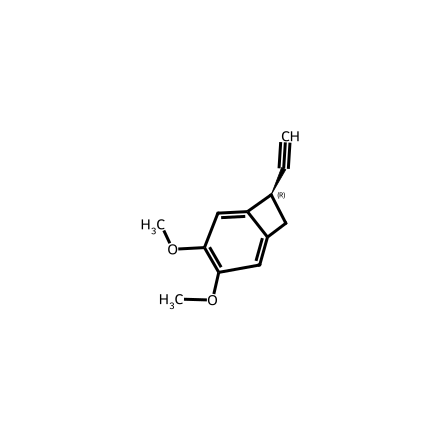 C#C[C@H]1Cc2cc(OC)c(OC)cc21